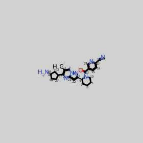 Cc1cn2nc([C@@H]3CCCCN3C(=O)c3ccc(C#N)nc3)cc2nc1C1CC[C@H](N)C1